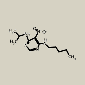 CCCCCNc1ncnc(NC(C)C)c1[N+](=O)[O-]